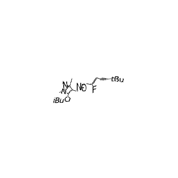 CCC(C)Oc1c(C=NOCC(F)=CC#CC(C)(C)C)c(C)nn1C